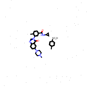 Cc1ccc(C(=O)NC2CC2)cc1-n1cnc2ccc(N3CCN(C)CC3)cc2c1=O.Cc1ccc(S(=O)(=O)O)cc1